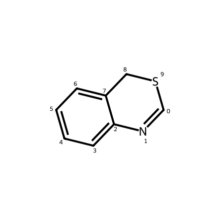 C1=Nc2ccccc2CS1